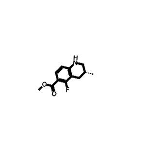 COC(=O)c1ccc2c(c1F)C[C@@H](C)CN2